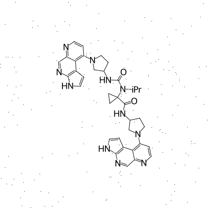 CC(C)N(C(=O)NC1CCN(c2ccnc3cnc4[nH]ccc4c23)C1)C1(C(=O)NC2CCN(c3ccnc4cnc5[nH]ccc5c34)C2)CC1